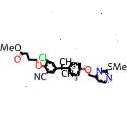 COC(=O)CCCOc1c(Cl)cc(C(C)(C)c2ccc(OCc3ccnc(SC)n3)cc2)cc1C#N